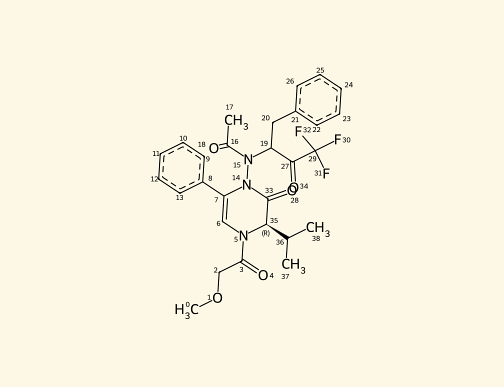 COCC(=O)N1C=C(c2ccccc2)N(N(C(C)=O)C(Cc2ccccc2)C(=O)C(F)(F)F)C(=O)[C@H]1C(C)C